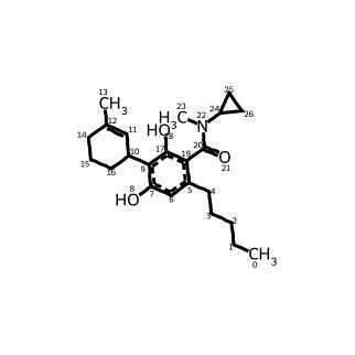 CCCCCc1cc(O)c(C2C=C(C)CCC2)c(O)c1C(=O)N(C)C1CC1